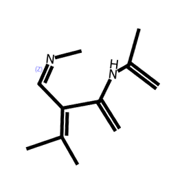 C=C(C)NC(=C)C(/C=N\C)=C(C)C